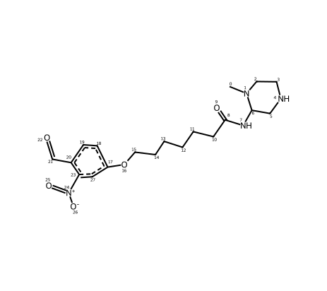 CN1CCNCC1NC(=O)CCCCCCOc1ccc(C=O)c([N+](=O)[O-])c1